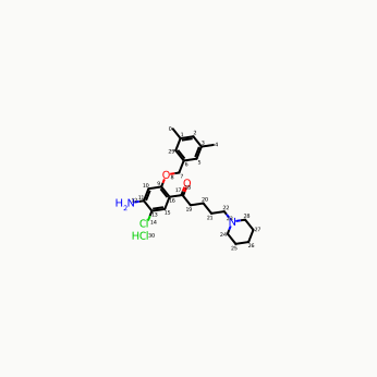 Cc1cc(C)cc(COc2cc(N)c(Cl)cc2C(=O)CCCCN2CCCCC2)c1.Cl